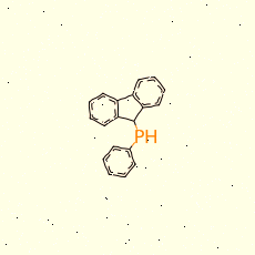 c1ccc(PC2c3ccccc3-c3ccccc32)cc1